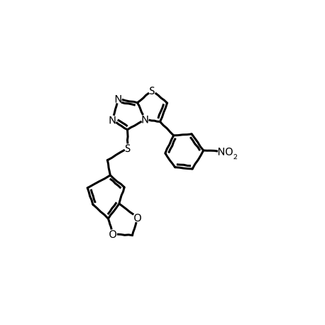 O=[N+]([O-])c1cccc(-c2csc3nnc(SCc4ccc5c(c4)OCO5)n23)c1